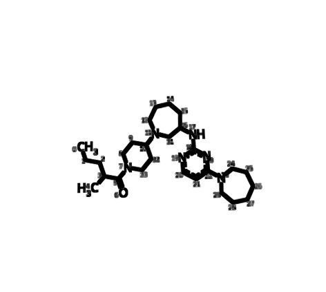 CCCC(C)C(=O)N1CCC(N2CCCCC(Nc3nccc(N4CCCCCC4)n3)C2)CC1